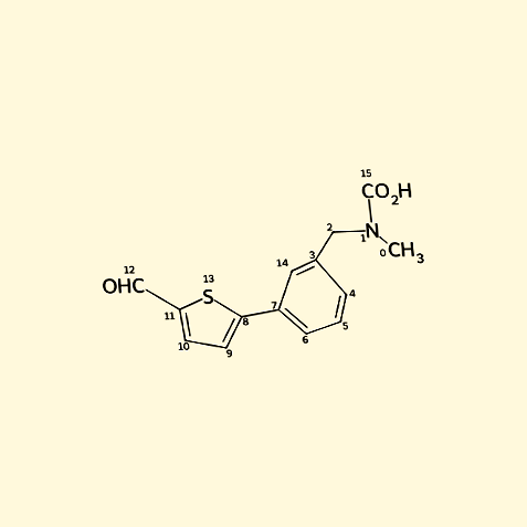 CN(Cc1cccc(-c2ccc(C=O)s2)c1)C(=O)O